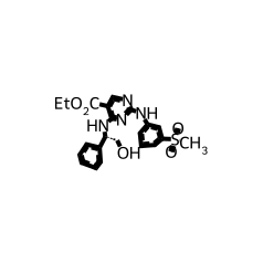 CCOC(=O)c1cnc(Nc2cccc(S(C)(=O)=O)c2)nc1N[C@H](CO)c1ccccc1